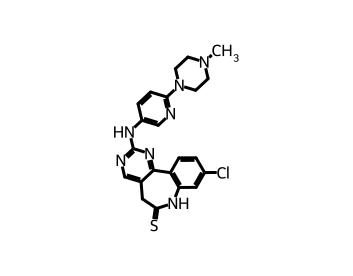 CN1CCN(c2ccc(Nc3ncc4c(n3)-c3ccc(Cl)cc3NC(=S)C4)cn2)CC1